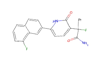 CC(C)C(F)(C(N)=O)c1ccc(-c2ccc3cccc(F)c3c2)[nH]c1=O